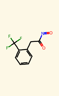 O=NC(=O)Cc1ccccc1C(F)(F)F